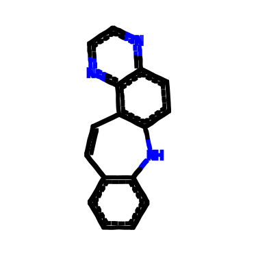 C1=Cc2c(ccc3nccnc23)Nc2ccccc21